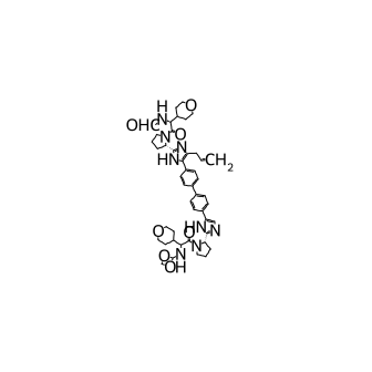 C=CCc1nc([C@@H]2CCCN2C(=O)[C@@H](NC=O)C2CCOCC2)[nH]c1-c1ccc(-c2ccc(-c3cnc([C@@H]4CCCN4C(=O)[C@@H](NC4OCO4)C4CCOCC4)[nH]3)cc2)cc1